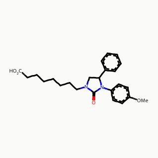 COc1ccc(N2C(=O)N(CCCCCCCC(=O)O)CC2c2ccccc2)cc1